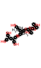 CC(C)(c1ccc(O)cc1)c1ccc(C(C)(c2ccc(OOc3ccc(C(c4ccc(O)cc4)c4ccc(C(c5ccc(O)cc5)c5ccc(O)cc5)cc4)cc3)cc2)c2ccc(Oc3ccc(C(c4ccc(C(c5ccccc5O)c5ccccc5O)cc4)c4ccccc4O)c(O)c3)cc2)cc1